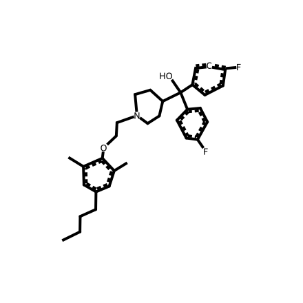 CCCCc1cc(C)c(OCCN2CCC(C(O)(c3ccc(F)cc3)c3ccc(F)cc3)CC2)c(C)c1